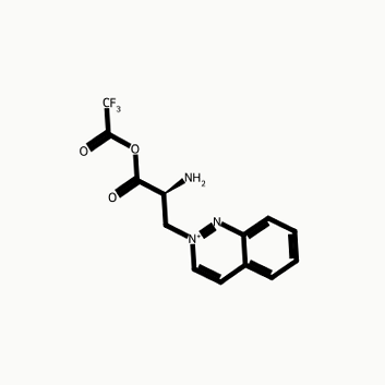 N[C@@H](C[n+]1ccc2ccccc2n1)C(=O)OC(=O)C(F)(F)F